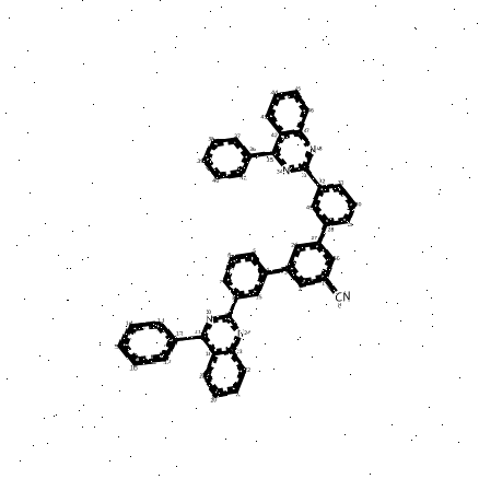 N#Cc1cc(-c2cccc(-c3nc(-c4ccccc4)c4ccccc4n3)c2)cc(-c2cccc(-c3nc(-c4ccccc4)c4ccccc4n3)c2)c1